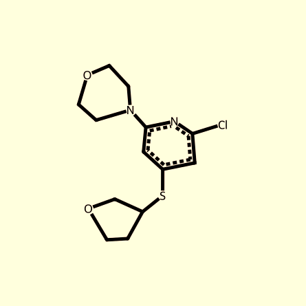 Clc1cc(SC2CCOC2)cc(N2CCOCC2)n1